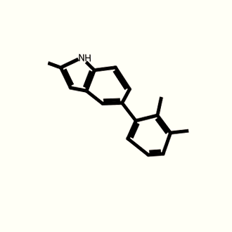 Cc1cc2cc(-c3cccc(C)c3C)ccc2[nH]1